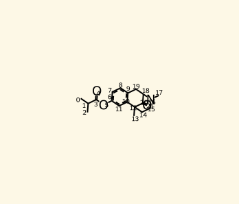 CC(C)C(=O)Oc1ccc2c(c1)C1(C)CCN(C)C(C2)C1=O